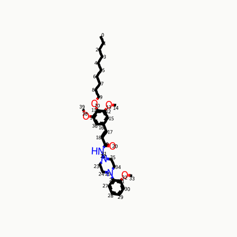 CCCCCCCCCCOc1c(OC)cc(/C=C/C(=O)NN2CCN(c3ccccc3OC)CC2)cc1OC